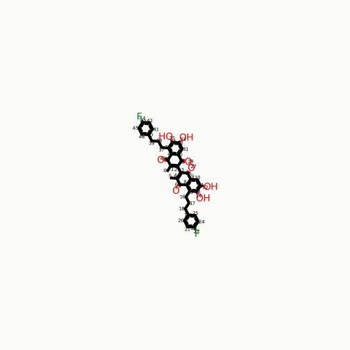 CC1=C(C2=C(C)C(=O)c3c(cc(O)c(O)c3CCCc3ccc(F)cc3)C2=O)C(=O)c2cc(O)c(O)c(CCCc3ccc(F)cc3)c2C1=O